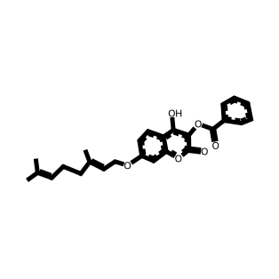 CC(C)=CCC/C(C)=C/COc1ccc2c(O)c(OC(=O)c3ccccc3)c(=O)oc2c1